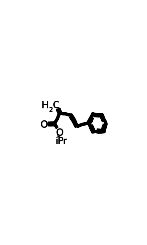 C=C(C=Cc1ccccc1)C(=O)OC(C)C